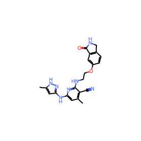 Cc1cc(Nc2cc(C)c(C#N)c(NCCOc3ccc4c(c3)C(=O)NC4)n2)n[nH]1